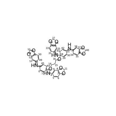 C1=CC(Nc2ccc3c(c2)OCO3)(OCCCOC2(Nc3ccc4c(c3)OCO4)C=CC(Nc3ccc4c(c3)OCO4)=CC2)CC=C1Nc1ccc2c(c1)OCO2